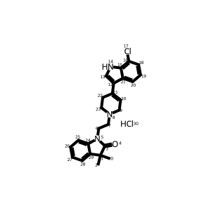 CC1(C)C(=O)N(CCN2CC=C(c3c[nH]c4c(Cl)cccc34)CC2)c2ccccc21.Cl